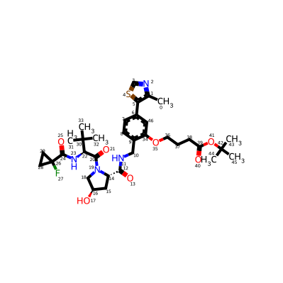 Cc1ncsc1-c1ccc(CNC(=O)[C@@H]2C[C@@H](O)CN2C(=O)[C@@H](NC(=O)C2(F)CC2)C(C)(C)C)c(OCCCC(=O)OC(C)(C)C)c1